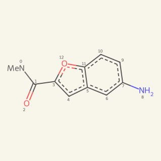 CNC(=O)c1cc2cc(N)ccc2o1